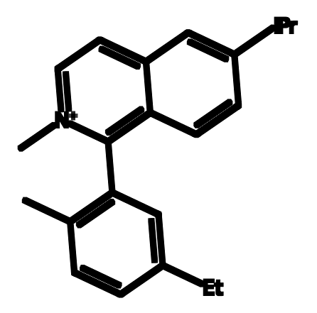 CCc1ccc(C)c(-c2c3ccc(C(C)C)cc3cc[n+]2C)c1